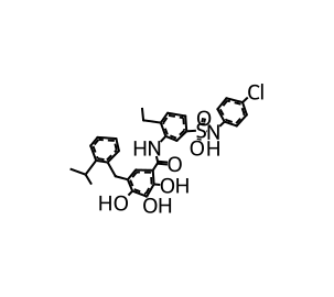 CCc1ccc(S(=O)(=O)Nc2ccc(Cl)cc2)cc1NC(=O)c1cc(Cc2ccccc2C(C)C)c(O)c(O)c1O